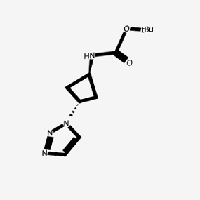 CC(C)(C)OC(=O)N[C@H]1C[C@H](n2ccnn2)C1